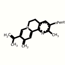 C=C(C)C1=CN2CCc3cc(CCCCC)c(C)nc3C2=CC1=C